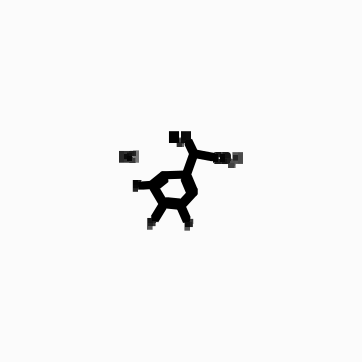 Cl.NC(C(=O)O)c1cc(F)c(F)c(F)c1